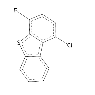 Fc1ccc(Cl)c2c1sc1ccccc12